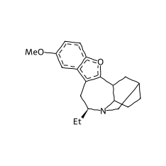 CC[C@H]1Cc2c(oc3ccc(OC)cc23)C2CC3CCC2N1C3